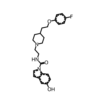 O=C(NCCN1CCC(CCOc2ccc(F)cc2)CC1)n1ccc2cc(O)ccc21